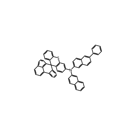 c1ccc(-c2ccc3cc(N(c4ccc5c(c4)Sc4ccccc4C54c5ccccc5-c5cccc6cccc4c56)c4ccc5ccccc5c4)ccc3c2)cc1